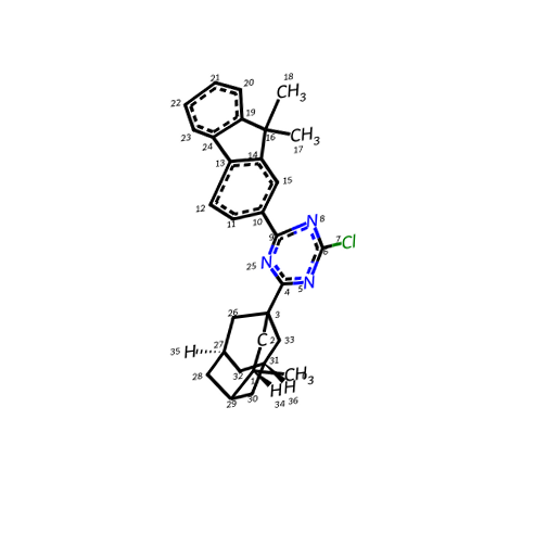 C[C@H]1CC2(c3nc(Cl)nc(-c4ccc5c(c4)C(C)(C)c4ccccc4-5)n3)C[C@@H]3CC1C[C@H](C3)C2